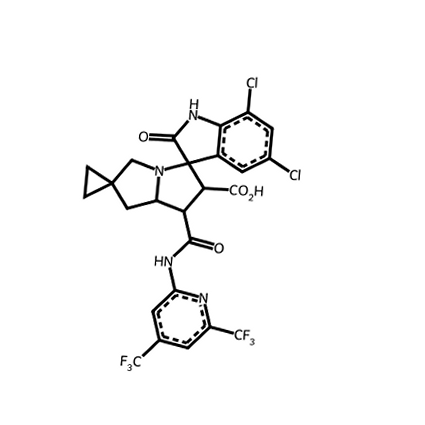 O=C(Nc1cc(C(F)(F)F)cc(C(F)(F)F)n1)C1C2CC3(CC3)CN2C2(C(=O)Nc3c(Cl)cc(Cl)cc32)C1C(=O)O